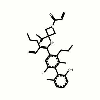 C=CC(=O)N1CC(N/C(=C(/C=C)CCC)c2cc(Cl)c(-c3c(C)cccc3O)c(F)c2CCC)(C(C)=O)C1